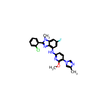 COc1nc(Nc2cc(F)cc3c2nc(-c2ccccc2Cl)n3C)ccc1-n1cnc(C)c1